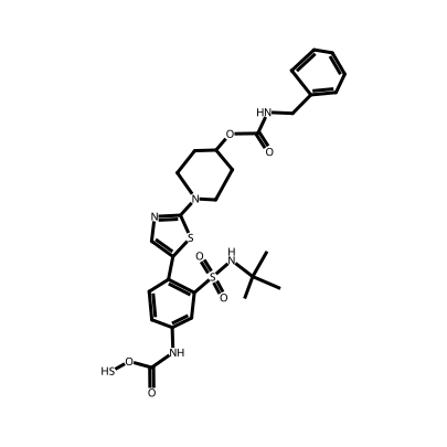 CC(C)(C)NS(=O)(=O)c1cc(NC(=O)OS)ccc1-c1cnc(N2CCC(OC(=O)NCc3ccccc3)CC2)s1